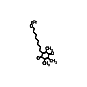 CCCOCCCCCCCCC1=C(C)C(=O)C(C)=C(C)C1=O